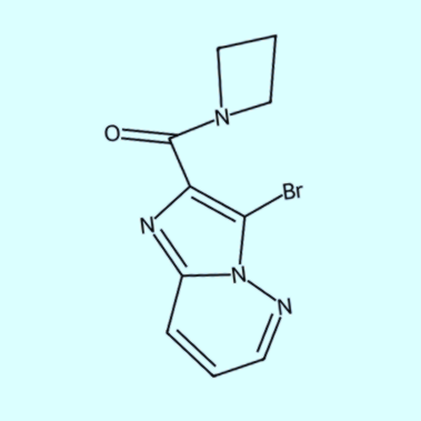 O=C(c1nc2cccnn2c1Br)N1CCC1